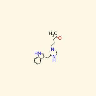 CC(=O)CCCN1CCNC(Cc2c[nH]c3ccccc23)C1